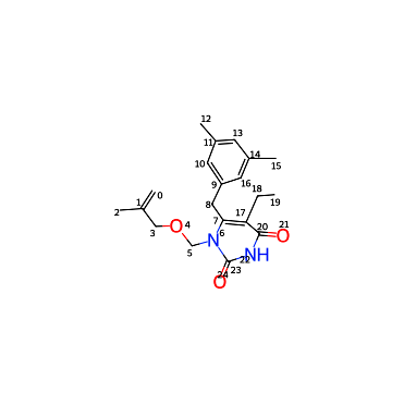 C=C(C)COCn1c(Cc2cc(C)cc(C)c2)c(CC)c(=O)[nH]c1=O